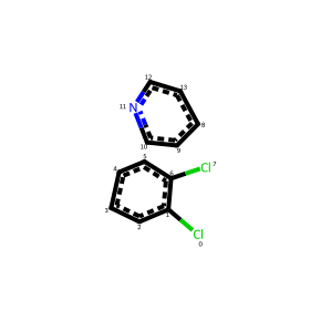 Clc1ccccc1Cl.c1ccncc1